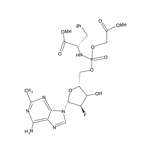 COC(=O)COP(=O)(N[C@@H](CC(C)C)C(=O)OC)OC[C@H]1O[C@@H](n2cnc3c(N)nc(C)nc32)[C@H](F)C1O